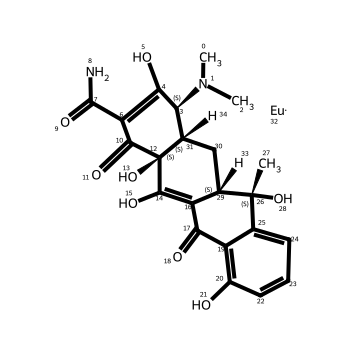 CN(C)[C@@H]1C(O)=C(C(N)=O)C(=O)[C@@]2(O)C(O)=C3C(=O)c4c(O)cccc4[C@@](C)(O)[C@H]3C[C@@H]12.[Eu]